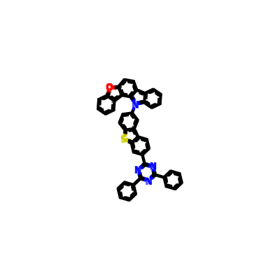 c1ccc(-c2nc(-c3ccccc3)nc(-c3ccc4c(c3)sc3ccc(-n5c6ccccc6c6ccc7oc8ccccc8c7c65)cc34)n2)cc1